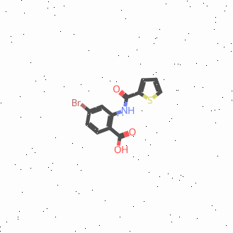 O=C(Nc1cc(Br)ccc1C(=O)O)c1cccs1